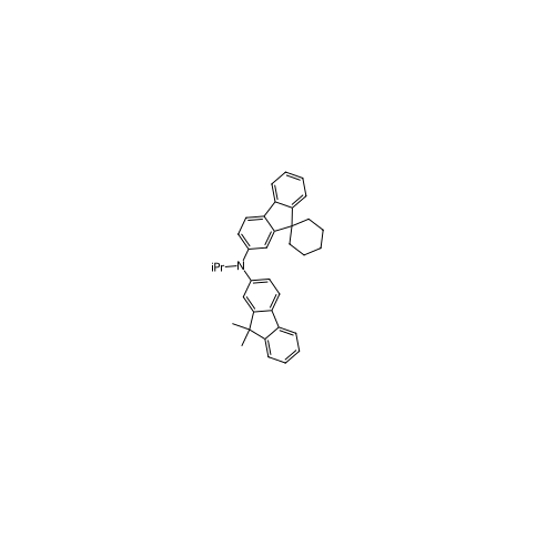 CC(C)N(c1ccc2c(c1)C(C)(C)c1ccccc1-2)c1ccc2c(c1)C1(CCCCC1)c1ccccc1-2